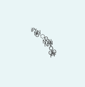 CC(C)c1noc(C2CCC(Oc3ncnc4c3nnn4-c3ccc(S(=O)(=O)N(F)F)cc3)CC2)n1